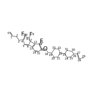 C=CCCc1cc2c(c(F)c1F)-c1c-2ccc(OCC2CCC(C3CCC(/C=C/C)CC3)CC2)c1F